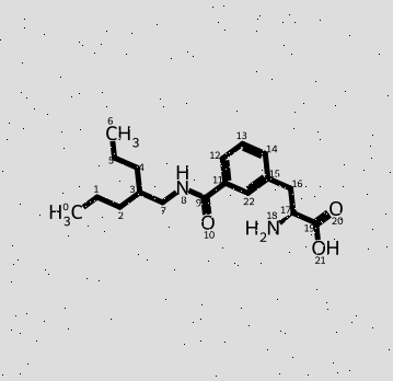 CCCC(CCC)CNC(=O)c1cccc(C[C@H](N)C(=O)O)c1